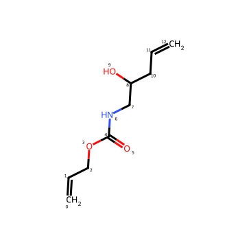 C=CCOC(=O)NCC(O)CC=C